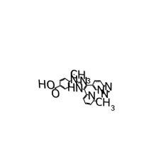 Cc1cccc(-c2[nH]c(N(C)c3ccc(C(=O)O)cc3)nc2-c2ccc3ncnn3c2)n1